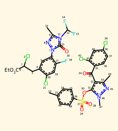 CCOC(=O)C(Cl)Cc1cc(-n2nc(C)n(C(F)F)c2=O)c(F)cc1Cl.Cc1ccc(S(=O)(=O)Oc2c(C(=O)c3ccc(Cl)cc3Cl)c(C)nn2C)cc1